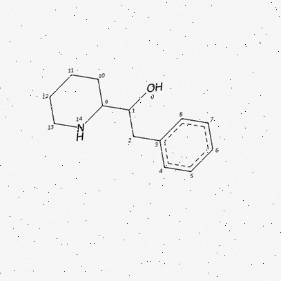 OC(Cc1ccccc1)C1CCCCN1